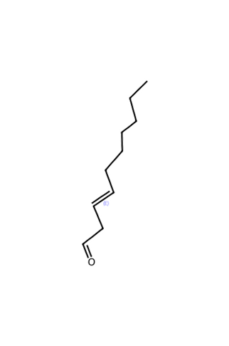 CCCCCC/C=C/CC=O